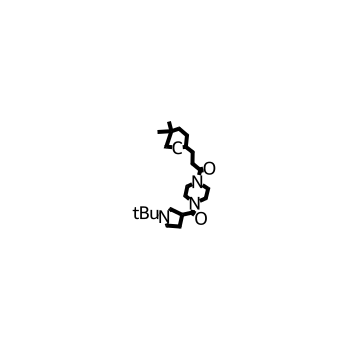 CC1(C)CCC(CCC(=O)N2CCN(C(=O)C3CCN(C(C)(C)C)C3)CC2)CC1